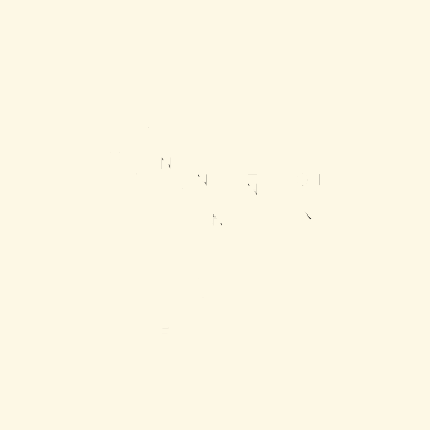 Cc1cc(F)ccc1-c1nc(NC[C@H](C)O)nc2c1ccc(=O)n2-c1ccccc1C